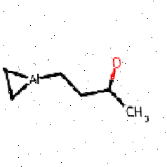 CC([O])C[CH2][Al]1[CH2][CH2]1